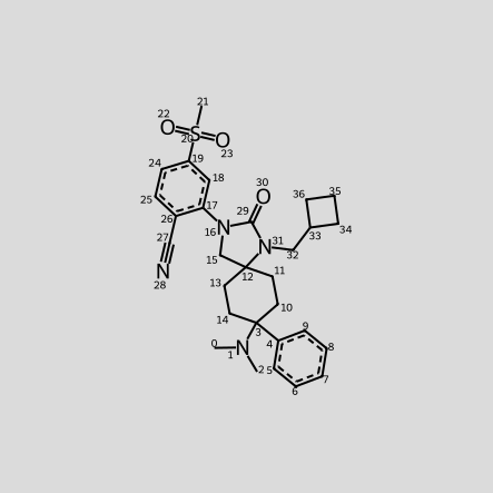 CN(C)C1(c2ccccc2)CCC2(CC1)CN(c1cc(S(C)(=O)=O)ccc1C#N)C(=O)N2CC1CCC1